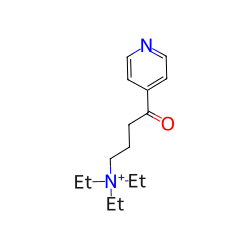 CC[N+](CC)(CC)CCCC(=O)c1ccncc1